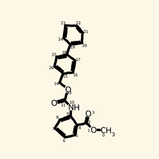 COC(=O)c1ccccc1NC(=O)OCc1ccc(-c2ccccc2)cc1